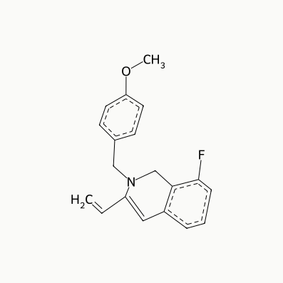 C=CC1=Cc2cccc(F)c2CN1Cc1ccc(OC)cc1